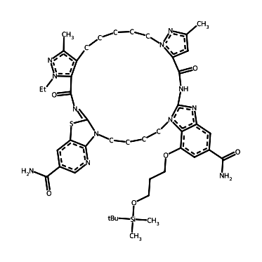 CCn1nc(C)c2c1C(=O)/N=C1\Sc3cc(C(N)=O)cnc3N1CCCCn1c(nc3cc(C(N)=O)cc(OCCCO[Si](C)(C)C(C)(C)C)c31)NC(=O)c1cc(C)nn1CCCCC2